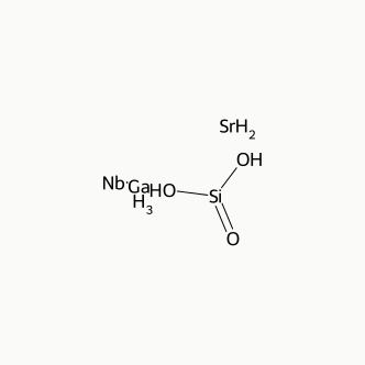 O=[Si](O)O.[GaH3].[Nb].[SrH2]